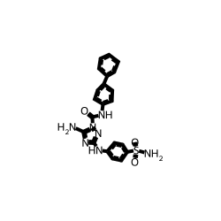 Nc1nc(Nc2ccc(S(N)(=O)=O)cc2)nn1C(=O)Nc1ccc(-c2ccccc2)cc1